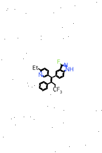 CCc1ccc(/C(=C(/CC(F)(F)F)c2ccccc2)c2ccc3[nH]nc(F)c3c2)cn1